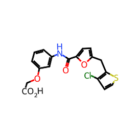 O=C(O)COc1cccc(NC(=O)c2ccc(Cc3sccc3Cl)o2)c1